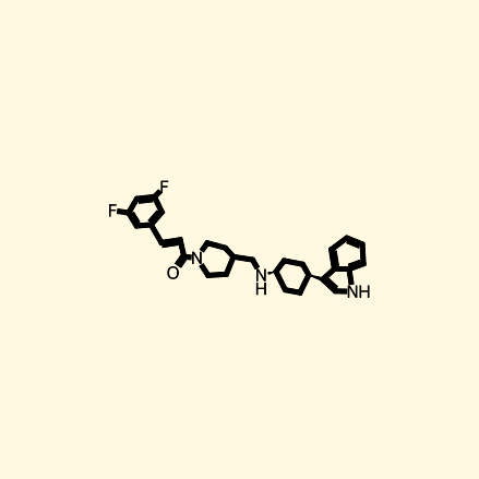 O=C(/C=C/c1cc(F)cc(F)c1)N1CCC(CN[C@H]2CC[C@H](c3c[nH]c4ccccc43)CC2)CC1